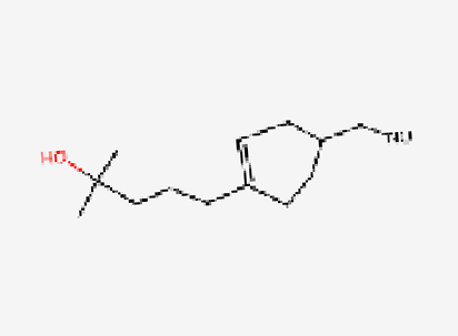 CC(C)(O)CCCC1=CCC(CN=O)CC1